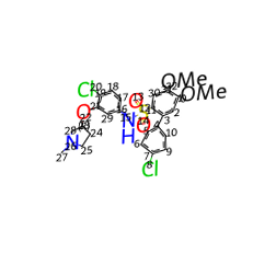 COc1cc(-c2ccc(Cl)cc2)c(S(=O)(=O)Nc2ccc(Cl)c(O[C@@H]3CCN(C)C3)c2)cc1OC